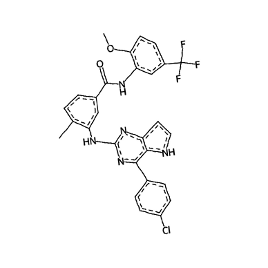 COc1ccc(C(F)(F)F)cc1NC(=O)c1ccc(C)c(Nc2nc(-c3ccc(Cl)cc3)c3[nH]ccc3n2)c1